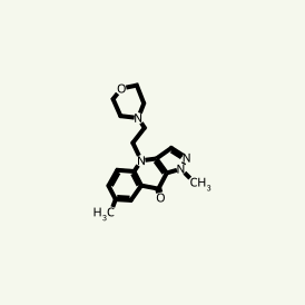 Cc1ccc2c(c1)c(=O)c1c(cnn1C)n2CCN1CCOCC1